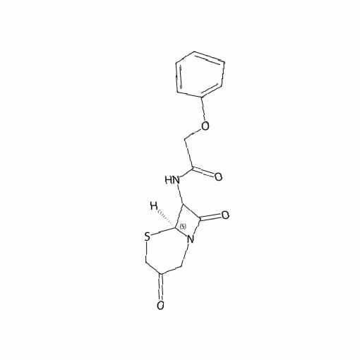 O=C1CS[C@H]2C(NC(=O)COc3ccccc3)C(=O)N2C1